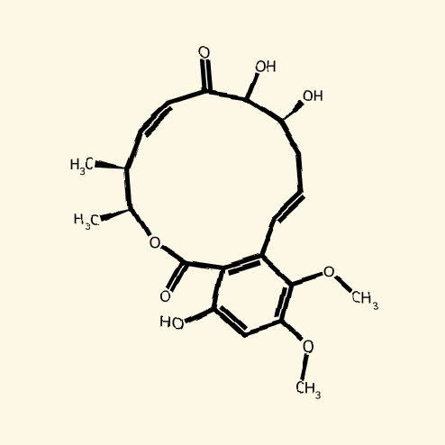 COc1cc(O)c2c(c1OC)/C=C/C[C@H](O)C(O)C(=O)/C=C\[C@H](C)[C@H](C)OC2=O